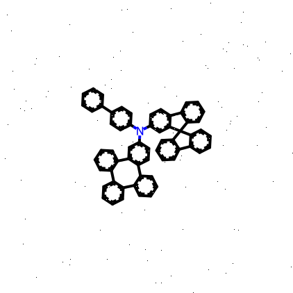 c1ccc(-c2ccc(N(c3ccc4c(c3)-c3ccccc3-c3ccccc3-c3ccccc3-4)c3ccc4c(c3)C3(c5ccccc5-c5ccccc53)c3ccccc3-4)cc2)cc1